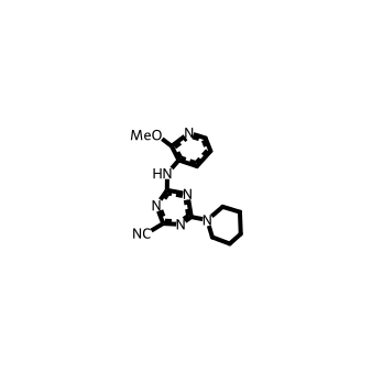 COc1ncccc1Nc1nc(C#N)nc(N2CCCCC2)n1